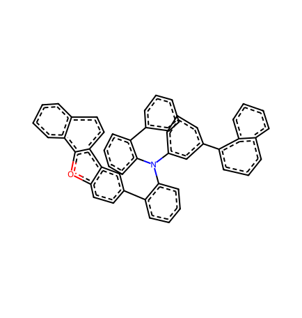 c1ccc(-c2ccccc2N(c2cccc(-c3cccc4ccccc34)c2)c2ccccc2-c2ccc3oc4c5ccccc5ccc4c3c2)cc1